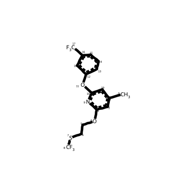 Cc1cc(OCCSC(F)(F)F)nc(Oc2cccc(C(F)(F)F)c2)c1